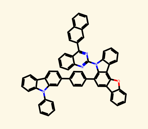 c1ccc(-n2c3ccccc3c3ccc(-c4ccc(-c5cc6c7ccccc7oc6c6c7ccccc7n(-c7nc(-c8ccc9ccccc9c8)c8ccccc8n7)c56)cc4)cc32)cc1